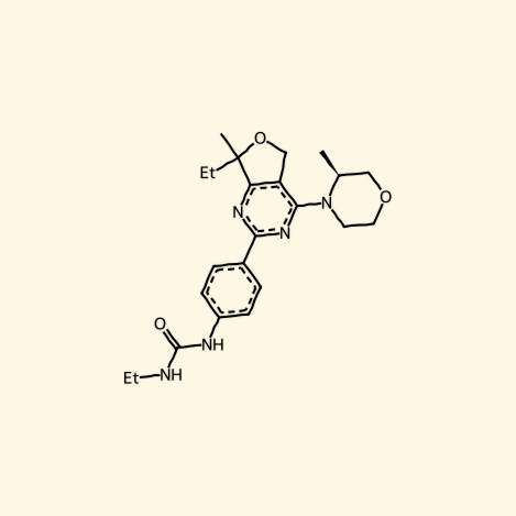 CCNC(=O)Nc1ccc(-c2nc(N3CCOC[C@@H]3C)c3c(n2)C(C)(CC)OC3)cc1